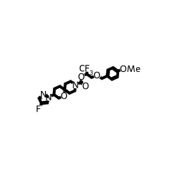 COc1ccc(COCC(OC(=O)N2CCC3(CCC(n4cc(F)cn4)CO3)CC2)C(F)(F)F)cc1